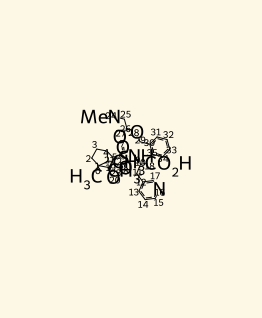 CC12CCC(C(S(=O)(=O)N[C@H](Cc3cccnc3)C(=O)O)C1=O)C2(C)C.CNCC(=O)OCc1ccccc1